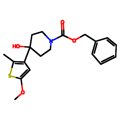 COc1cc(C2(O)CCN(C(=O)OCc3ccccc3)CC2)c(C)s1